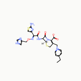 CCc1cc[n+](CC2=C(C(=O)[O-])N3C(=O)C(NC(=O)C(=NOCc4c[nH]cn4)c4csc(N)n4)[C@@H]3SC2)cc1